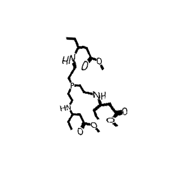 CCC(CC(=O)OC)NCCP(CCNC(CC)CC(=O)OC)CCNC(CC)CC(=O)OC